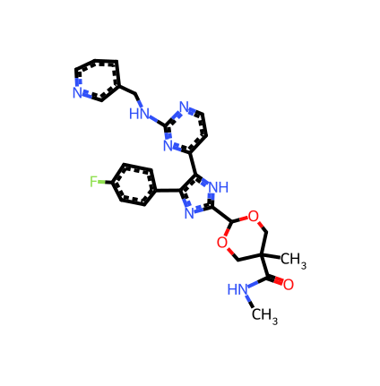 CNC(=O)C1(C)COC(c2nc(-c3ccc(F)cc3)c(-c3ccnc(NCc4cccnc4)n3)[nH]2)OC1